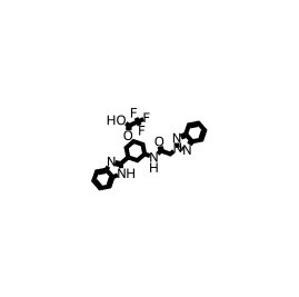 O=C(Cn1nc2ccccc2n1)NC1CCCC(c2nc3ccccc3[nH]2)C1.O=C(O)C(F)(F)F